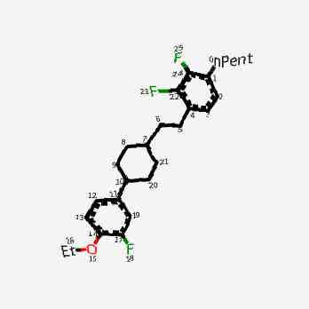 CCCCCc1ccc(CCC2CCC(c3ccc(OCC)c(F)c3)CC2)c(F)c1F